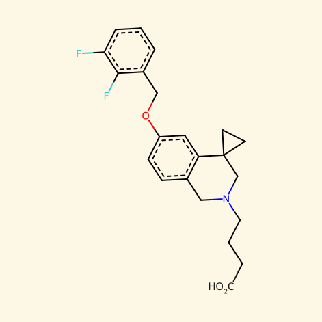 O=C(O)CCCN1Cc2ccc(OCc3cccc(F)c3F)cc2C2(CC2)C1